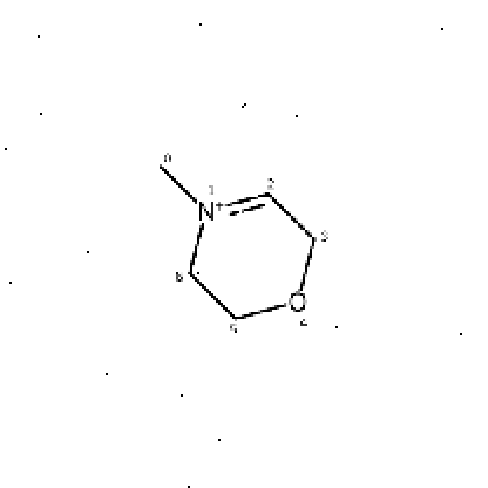 C[N+]1=CCOCC1